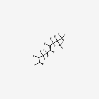 FC(=C(F)C(F)(F)C(F)(C(F)(F)F)C(F)(F)F)C(F)(F)C(F)(F)C(F)C(F)F